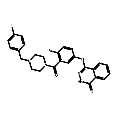 O=C(c1cc(Oc2n[nH]c(=O)c3ccccc23)ccc1F)N1CCN(Cc2ccc(F)cc2)CC1